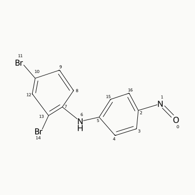 O=Nc1ccc(Nc2ccc(Br)cc2Br)cc1